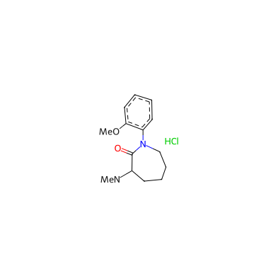 CNC1CCCCN(c2ccccc2OC)C1=O.Cl